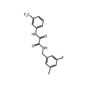 O=C(NCc1cc(F)cc(F)c1)C(=O)Nc1cccc(C(F)(F)F)c1